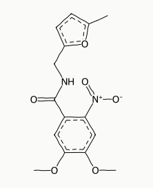 COc1cc(C(=O)NCc2ccc(C)o2)c([N+](=O)[O-])cc1OC